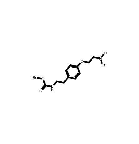 CCN(CC)CCOc1ccc(CCNC(=O)OC(C)(C)C)cc1